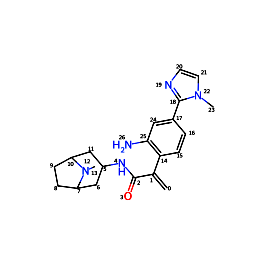 C=C(C(=O)NC1CC2CCC(C1)N2C)c1ccc(-c2nccn2C)cc1N